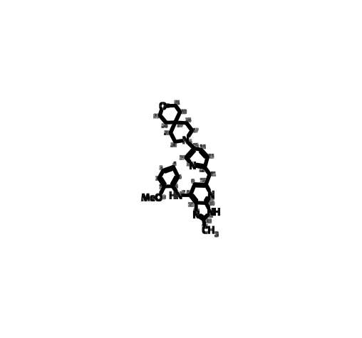 COc1ccccc1Nc1cc(Cc2ccc(N3CCC4(CCOCC4)CC3)cn2)nc2[nH]c(C)nc12